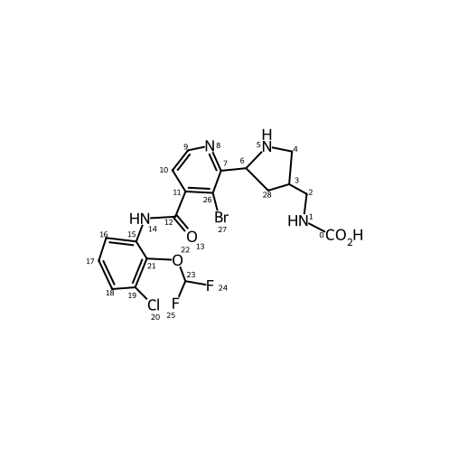 O=C(O)NCC1CNC(c2nccc(C(=O)Nc3cccc(Cl)c3OC(F)F)c2Br)C1